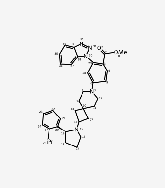 COC(=O)c1ccc(N2CCC3(CC2)CC(N2CCC[C@H]2c2ccccc2C(C)C)C3)cc1-n1nnc2ccccc21